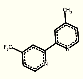 Cc1ccnc(-c2cc(C(F)(F)F)ccn2)c1